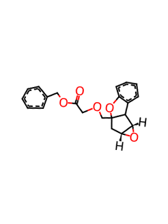 O=C(COCC12C[C@H]3O[C@H]3C1c1ccccc1O2)OCc1ccccc1